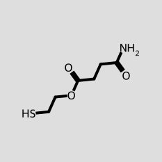 NC(=O)CCC(=O)OCCS